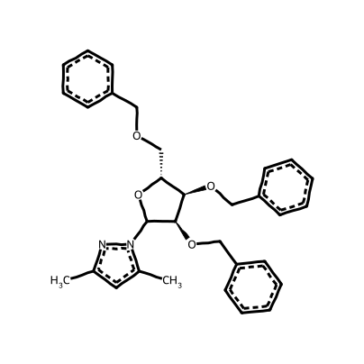 Cc1cc(C)n(C2O[C@H](COCc3ccccc3)[C@@H](OCc3ccccc3)[C@H]2OCc2ccccc2)n1